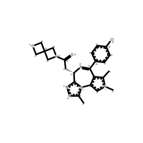 Cc1c2c(cn1C)-n1c(C)nnc1[C@H](CC(=O)N1CC3(COC3)C1)N=C2c1ccc(Cl)cc1